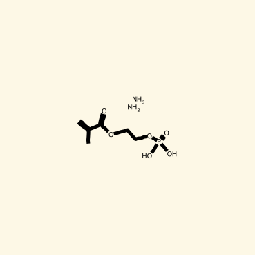 C=C(C)C(=O)OCCOP(=O)(O)O.N.N